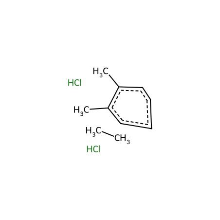 CC.Cc1ccccc1C.Cl.Cl